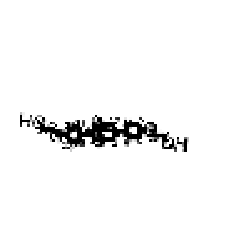 CC12CC3(C)CC(c4ccc(OCCO)cc4)(C1)CC(c1ccc(OCCO)cc1)(C2)C3